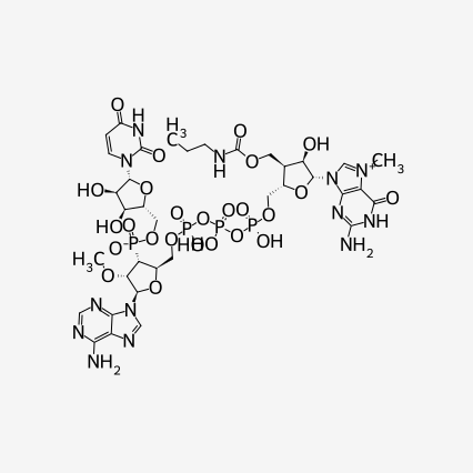 CCCNC(=O)OC[C@H]1[C@@H](O)[C@H](n2c[n+](C)c3c(=O)[nH]c(N)nc32)O[C@@H]1COP(=O)(O)OP(=O)(O)OP(=O)(O)OC[C@H]1O[C@@H](n2cnc3c(N)ncnc32)[C@H](OC)[C@@H]1P(=O)([O-])OC[C@H]1O[C@@H](n2ccc(=O)[nH]c2=O)[C@H](O)[C@@H]1O